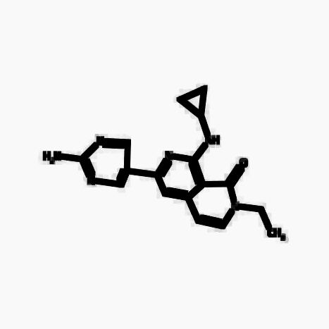 CCn1ccc2cc(-c3cnc(N)nc3)nc(NC3CC3)c2c1=O